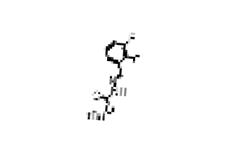 CC(C)(C)OC(=O)N/N=C/c1cccc(F)c1Cl